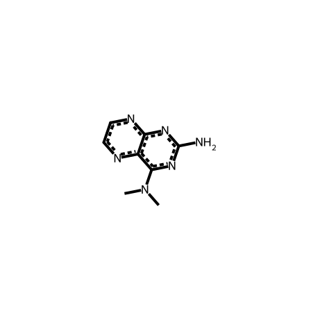 CN(C)c1nc(N)nc2nccnc12